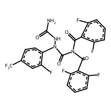 NC(=O)NN(C(=O)N(C(=O)c1c(F)cccc1F)C(=O)c1c(F)cccc1F)c1ccc(C(F)(F)F)cc1F